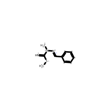 CSC(=N)N(C)/N=C/c1ccccc1